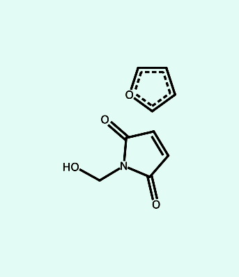 O=C1C=CC(=O)N1CO.c1ccoc1